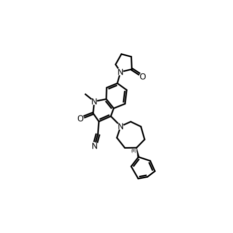 Cn1c(=O)c(C#N)c(N2CCC[C@@H](c3ccccc3)CC2)c2ccc(N3CCCC3=O)cc21